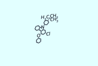 CC(C)(C)c1ccc(-n2c3ccccc3c3c(Oc4ccccc4)cc(Cl)cc32)cc1